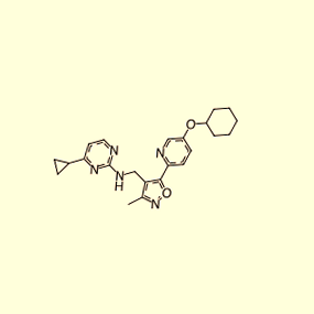 Cc1noc(-c2ccc(OC3CCCCC3)cn2)c1CNc1nccc(C2CC2)n1